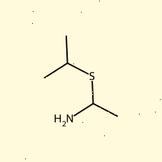 CC(C)SC(C)N